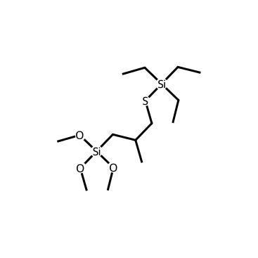 CC[Si](CC)(CC)SCC(C)C[Si](OC)(OC)OC